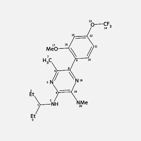 CCC(CC)Nc1nc(C)c(-c2ccc(OC(F)(F)F)cc2OC)nc1NC